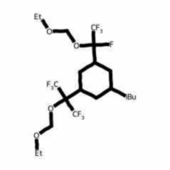 CCOCOC(F)(C1CC(C(C)CC)CC(C(OCOCC)(C(F)(F)F)C(F)(F)F)C1)C(F)(F)F